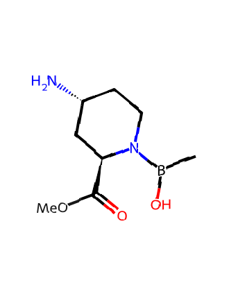 COC(=O)[C@H]1C[C@H](N)CCN1B(C)O